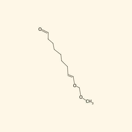 COCOC=CCCCCCCC=O